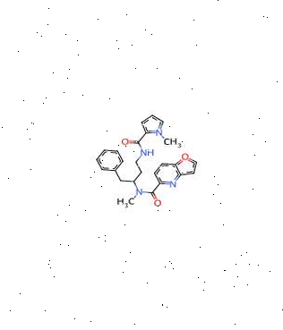 CN(C(=O)c1ccc2occc2n1)C(CCNC(=O)c1cccn1C)Cc1ccccc1